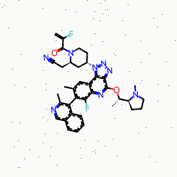 C=C(F)C(=O)N1CC[C@H](n2nnc3c(O[C@@H](C)[C@@H]4CCCN4C)nc4c(F)c(-c5c(C)ncc6ccccc56)c(C)cc4c32)C[C@H]1CC#N